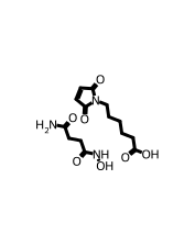 NC(=O)CCC(=O)NO.O=C(O)CCCCCN1C(=O)C=CC1=O